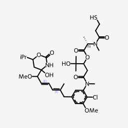 COc1cc(C/C(C)=C/C=C/C(OC)C2(O)CC(C(C)C)OC(=O)N2)cc(N(C)C(=O)CC(OC(=O)[C@H](C)N(C)C(=O)CCS)C(C)(C)O)c1Cl